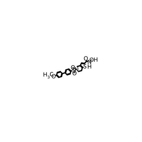 COc1ccc(-c2ccc(S(=O)(=O)N3CCc4sc(C(=O)NO)cc4C3)cc2)cc1